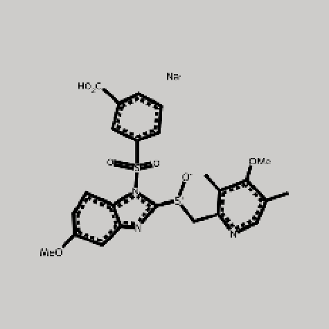 COc1ccc2c(c1)nc([S+]([O-])Cc1ncc(C)c(OC)c1C)n2S(=O)(=O)c1cccc(C(=O)O)c1.[Na]